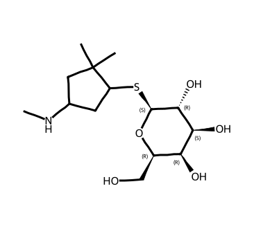 CNC1CC(S[C@@H]2O[C@H](CO)[C@H](O)[C@H](O)[C@H]2O)C(C)(C)C1